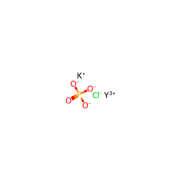 O=P([O-])([O-])[O-].[Cl-].[K+].[Y+3]